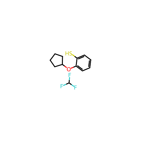 FC(F)F.Sc1ccccc1OC1CCCC1